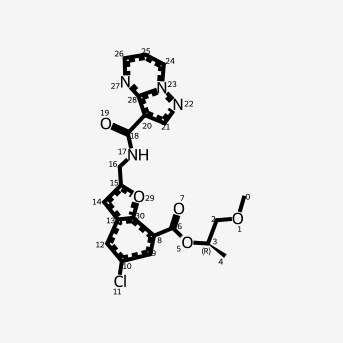 COC[C@@H](C)OC(=O)c1cc(Cl)cc2cc(CNC(=O)c3cnn4cccnc34)oc12